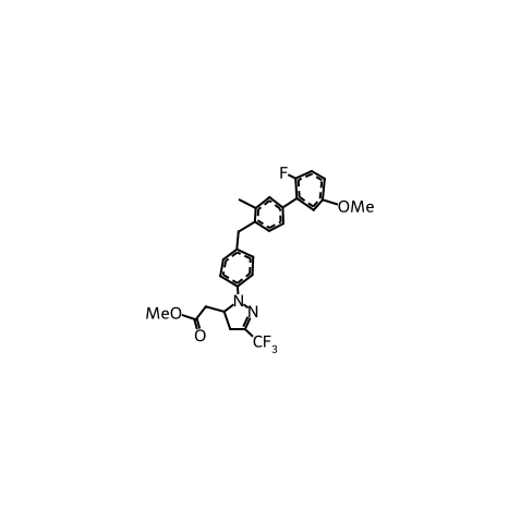 COC(=O)CC1CC(C(F)(F)F)=NN1c1ccc(Cc2ccc(-c3cc(OC)ccc3F)cc2C)cc1